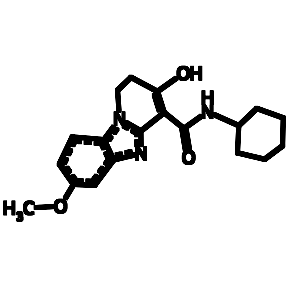 COc1ccc2c(c1)nc1n2CCC(O)=C1C(=O)NC1CCCCC1